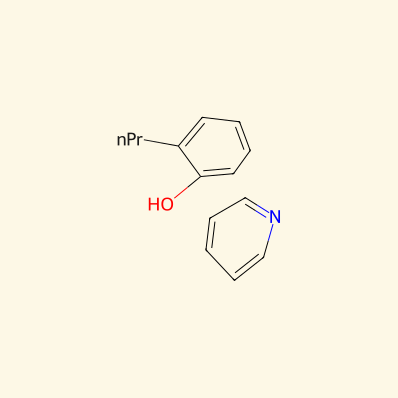 CCCc1ccccc1O.c1ccncc1